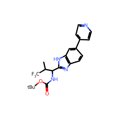 CC(C(NC(=O)OC(C)(C)C)c1nc2ccc(-c3ccncc3)cc2[nH]1)C(F)(F)F